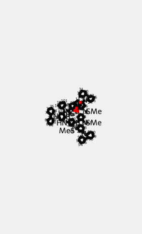 CSN1c2cc3c(cc2B2c4sc5ccccc5c4Oc4cc(-n5c6ccccc6c6ccccc65)cc1c42)B1c2cc4c(cc2N(SC)c2cc(-n5c6ccccc6c6ccccc65)cc(c21)N3SC)Nc1cc(-n2c3ccccc3c3ccccc32)cc2c1B4c1sc3ccccc3c1N2c1ccccc1